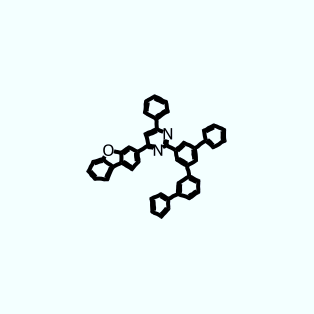 c1ccc(-c2cccc(-c3cc(-c4ccccc4)cc(-c4nc(-c5ccccc5)cc(-c5ccc6c(c5)oc5ccccc56)n4)c3)c2)cc1